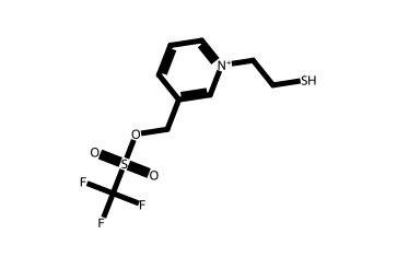 O=S(=O)(OCc1ccc[n+](CCS)c1)C(F)(F)F